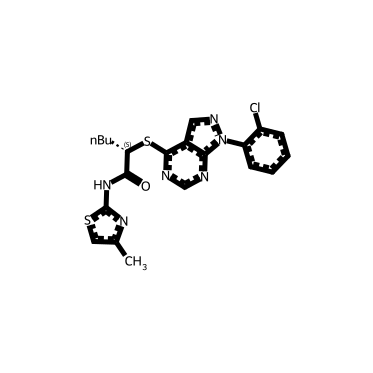 CCCC[C@H](Sc1ncnc2c1cnn2-c1ccccc1Cl)C(=O)Nc1nc(C)cs1